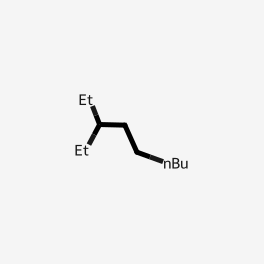 [CH2]CCCCCC(C[CH2])CC